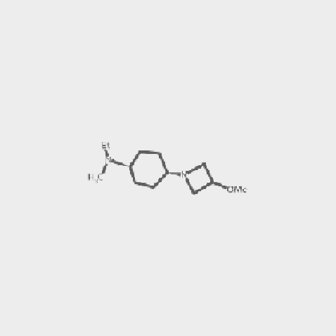 CCN(C)[C@H]1CC[C@@H](N2CC(OC)C2)CC1